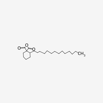 CCCCCCCCCCCCCCC1CCCCC12C(=O)OC2=O